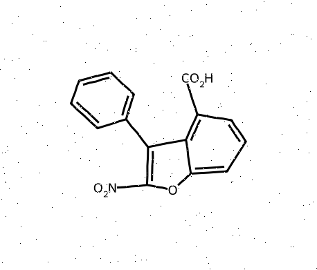 O=C(O)c1cccc2oc([N+](=O)[O-])c(-c3ccccc3)c12